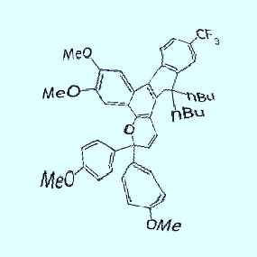 CCCCC1(CCCC)c2cc(C(F)(F)F)ccc2-c2c1c1c(c3cc(OC)c(OC)cc23)OC(c2ccc(OC)cc2)(c2ccc(OC)cc2)C=C1